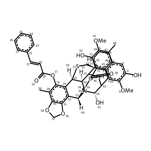 COc1cc2c(cc1O)CCN[C@]21CS[C@@H]2c3c(OC(=O)/C=C/c4ccccc4)c(C)c4c(c3[C@H](CCOC1=O)N1[C@@H]2C2NC(Cc3cc(C)c(OC)c(O)c32)[C@@H]1O)OCO4